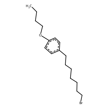 CCCCOc1ccc(CCCCCCCBr)cc1